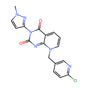 Cn1ccc(-n2c(=O)nc3n(Cc4ccc(Cl)nc4)cccc-3c2=O)n1